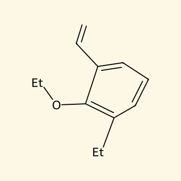 C=Cc1cccc(CC)c1OCC